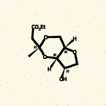 CCOC(=O)C[C@@]1(C)OC[C@H]2OC[C@H](O)[C@H]2O1